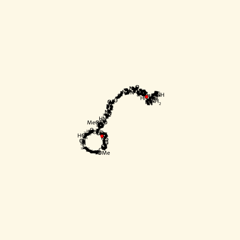 CO[C@H]1CC2CC[C@@H](C)C(O2)C(=O)C(=O)N2CCCC[C@H]2C(=O)O[C@H](CC[C@@H]2CC[C@@H](OC(=O)NCc3cnc(N4CCN(C(=O)CCOCCOCCN5CCN(c6ncc(C(=O)N7CCc8cc(CNc9ncnc(N)c9C(=N)c9cnc%10[nH]ccc%10c9)ccc8C7)cn6)CC5)CC4)nc3)[C@H](OC)C2)CC(=O)[C@H](C)/C=C(\C)[C@@H](O)CC(=O)[C@H](C)C[C@H](C)/C=C/C=C/C=C/1C